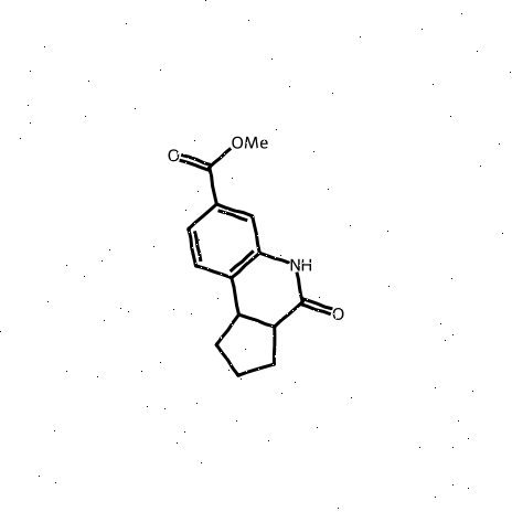 COC(=O)c1ccc2c(c1)NC(=O)C1CCCC21